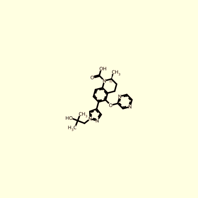 C[C@H]1CCc2c(ccc(-c3cnn(CC(C)(C)O)c3)c2Oc2cnccn2)N1C(=O)O